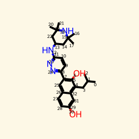 C[C](C)Cc1c(O)c(-c2ccc(NC3CC(C)(C)NC(C)(C)C3)nn2)cc2ccc(O)cc12